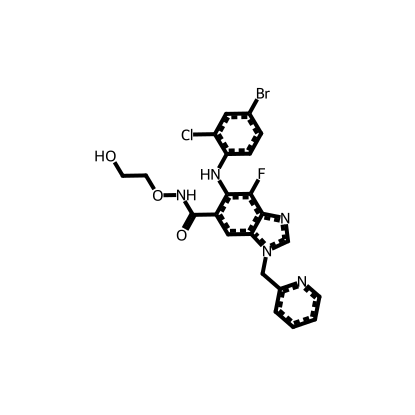 O=C(NOCCO)c1cc2c(ncn2Cc2ccccn2)c(F)c1Nc1ccc(Br)cc1Cl